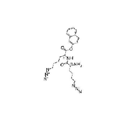 [N-]=[N+]=NCCCC[C@H](NC(=O)[C@@H](N)CCCCN=[N+]=[N-])C(=O)Oc1ccc2ccccc2c1